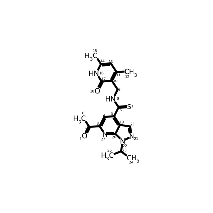 CC(=O)c1cc(C(=S)NCc2c(C)cc(C)[nH]c2=O)c2cnn(C(C)C)c2n1